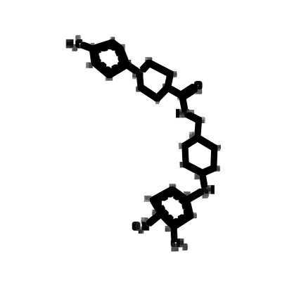 Cc1ccc(N2CCC(C(=O)NCC3CCC(Nc4ccc([N+](=O)[O-])c(C)c4)CC3)CC2)cc1